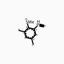 C#[PH]c1cc(C)cc(C)c1SC